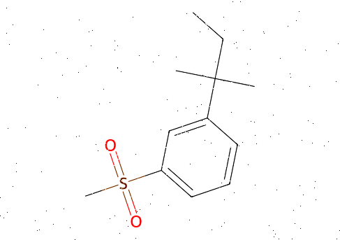 CCC(C)(C)c1cccc(S(C)(=O)=O)c1